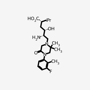 Cc1c(F)cccc1N1CC(C)(C)N(C[C@H](N)[C@@H](O)C[C@H](C(=O)O)C(C)C)CC1=O